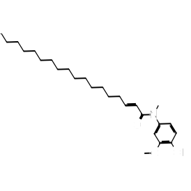 CCCCCCCCCCCCCCCC=CC(=O)N(C)c1ccc(O)c(OC)c1